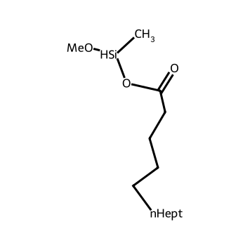 CCCCCCCCCCCC(=O)O[SiH](C)OC